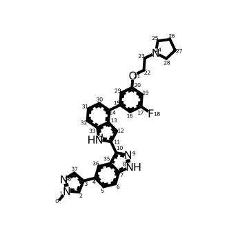 Cn1cc(-c2ccc3[nH]nc(-c4cc5c(-c6cc(F)cc(OCCN7CCCC7)c6)cccc5[nH]4)c3c2)cn1